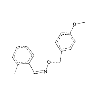 COc1ccc(CO/N=[C]\c2ccccc2C)cc1